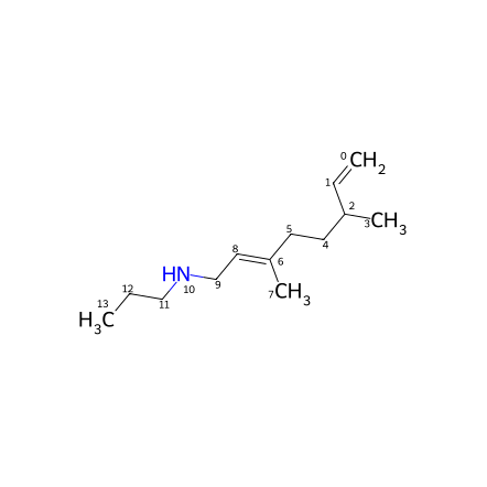 C=CC(C)CC/C(C)=C/CNCCC